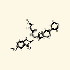 COc1ccc2c(c1)C(=O)N(C[C@H](NC(=O)NC=O)c1cc3cnc(-c4ccncc4)cc3o1)C2